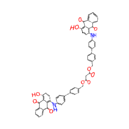 O=C(CC(=O)OCc1ccc(-c2ccc(Nc3ccc(O)c4c3C(=O)c3ccccc3C4=O)cc2)cc1)OCc1ccc(-c2ccc(Nc3ccc(O)c4c3C(=O)c3ccccc3C4=O)cc2)cc1